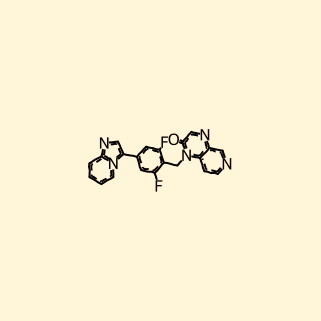 O=c1cnc2cnccc2n1Cc1c(F)cc(-c2cnc3ccccn23)cc1F